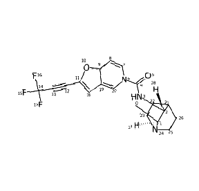 C[C@H]1[C@H](NC(=O)N2C=CC3OC(C#CC(F)(F)F)=CC3=C2)C2CCN1CC2